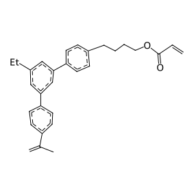 C=CC(=O)OCCCCc1ccc(-c2cc(CC)cc(-c3ccc(C(=C)C)cc3)c2)cc1